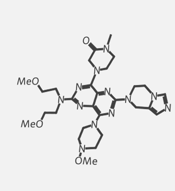 COCCN(CCOC)c1nc(N2CCN(C)C(=O)C2)c2nc(N3CCn4cncc4C3)nc(N3CCN(OC)CC3)c2n1